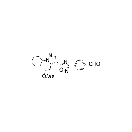 COCCc1c(-c2nc(-c3ccc(C=O)cc3)no2)cnn1C1CCCCC1